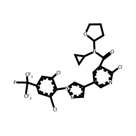 O=C(c1cc(-c2cnn(-c3c(Cl)cc(C(F)(C(F)(F)F)C(F)(F)F)cc3Cl)c2)cnc1Cl)N(C1CC1)C1CCCO1